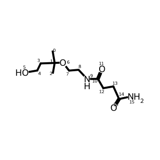 CC(C)(CCO)OCCNC(=O)CCC(N)=O